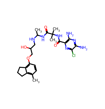 Cc1ccc(OCC(O)CNC(C)NC(=O)C(C)(C)NC(=O)c2nc(Cl)c(N)nc2N)c2c1CCC2